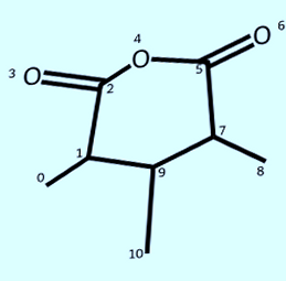 CC1C(=O)OC(=O)C(C)C1C